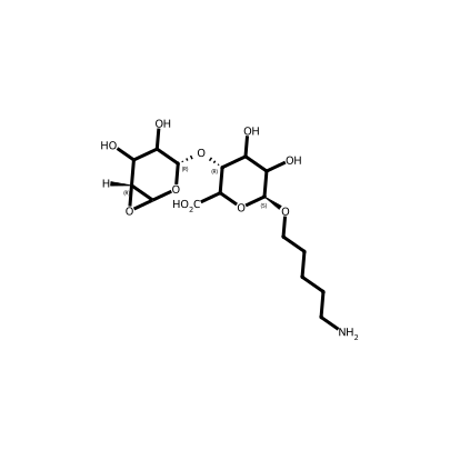 NCCCCCO[C@H]1OC(C(=O)O)[C@H](O[C@@H]2OC3O[C@@H]3C(O)C2O)C(O)C1O